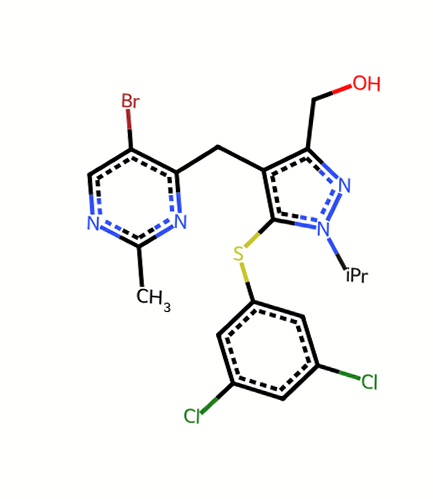 Cc1ncc(Br)c(Cc2c(CO)nn(C(C)C)c2Sc2cc(Cl)cc(Cl)c2)n1